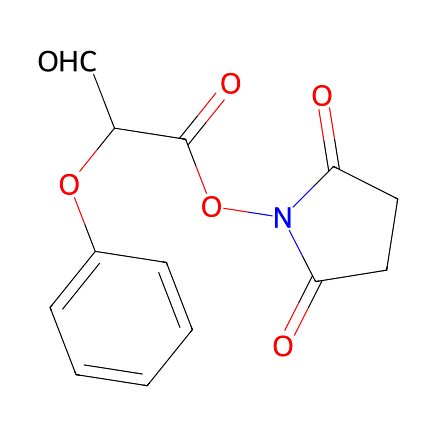 O=CC(Oc1ccccc1)C(=O)ON1C(=O)CCC1=O